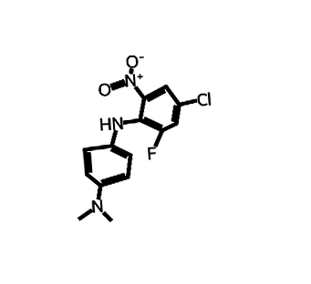 CN(C)c1ccc(Nc2c(F)cc(Cl)cc2[N+](=O)[O-])cc1